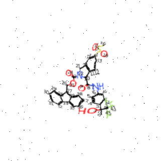 CC(O)(c1ccc(NC(=O)C2c3ccc(S(C)(=O)=O)cc3CN2C(=O)OCC2c3ccccc3-c3ccccc32)cc1)C(F)(F)F